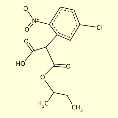 CCC(C)OC(=O)C(C(=O)O)c1cc(Cl)ccc1[N+](=O)[O-]